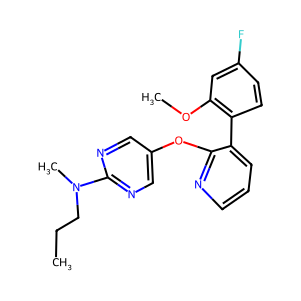 CCCN(C)c1ncc(Oc2ncccc2-c2ccc(F)cc2OC)cn1